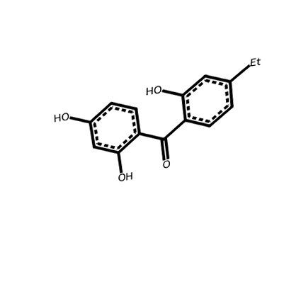 CCc1ccc(C(=O)c2ccc(O)cc2O)c(O)c1